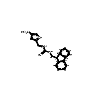 O=C(NCc1cc(C(=O)O)co1)OCC1c2ccccc2-c2ccccc21